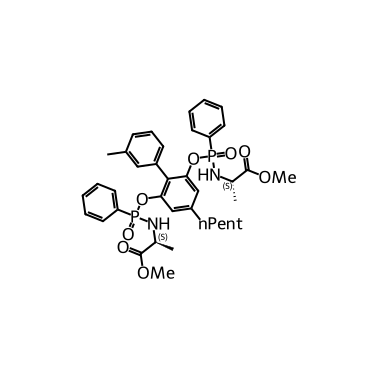 CCCCCc1cc(OP(=O)(N[C@@H](C)C(=O)OC)c2ccccc2)c(-c2cccc(C)c2)c(OP(=O)(N[C@@H](C)C(=O)OC)c2ccccc2)c1